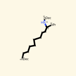 CCCCCCCCCCCCCCCCCCC(CCC)NCCCCCCCCCC